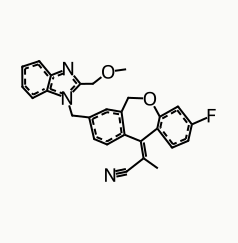 COCc1nc2ccccc2n1Cc1ccc2c(c1)COc1cc(F)ccc1/C2=C(\C)C#N